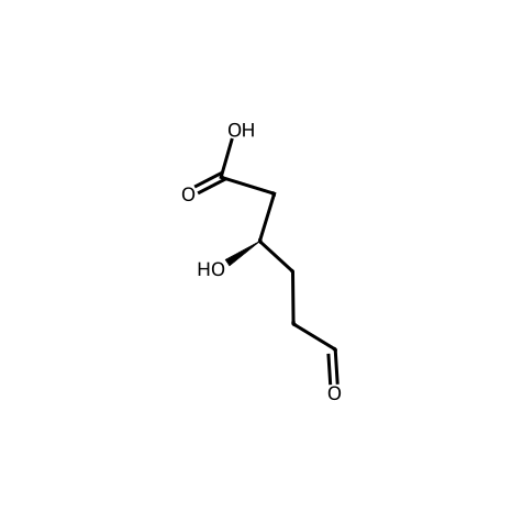 O=CCC[C@@H](O)CC(=O)O